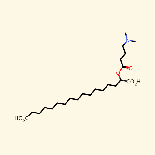 CN(C)CCCC(=O)OC(CCCCCCCCCCCCCCC(=O)O)C(=O)O